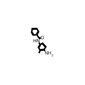 Cc1cc(NC(=O)c2ccccc2)ccc1N